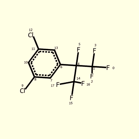 FC(F)(F)C(F)(c1cc(Cl)[c]c(Cl)c1)C(F)(F)F